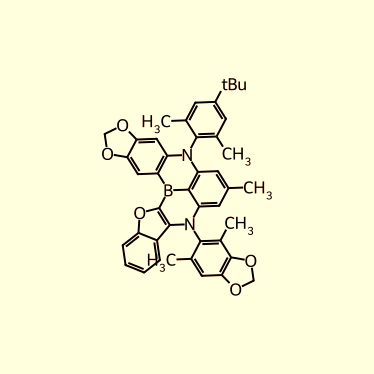 Cc1cc2c3c(c1)N(c1c(C)cc4c(c1C)OCO4)c1c(oc4ccccc14)B3c1cc3c(cc1N2c1c(C)cc(C(C)(C)C)cc1C)OCO3